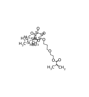 C=C(C)C(=O)OCCOCCCO[SiH2][Si](=O)[Si](=O)[Si](=O)[Si](=O)[Si](C)(C)[Si](C)(C)CCCC